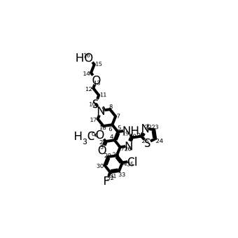 COC(=O)C1=C(C2CCN(SCCOCCO)CC2)NC(c2nccs2)=NC1c1ccc(F)cc1Cl